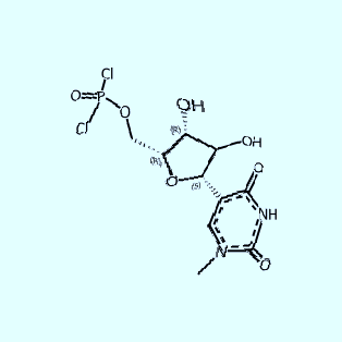 Cn1cc([C@@H]2O[C@H](COP(=O)(Cl)Cl)[C@H](O)C2O)c(=O)[nH]c1=O